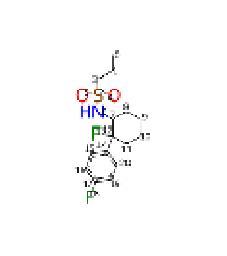 CCCS(=O)(=O)NC1CCCCC1(F)c1ccc(F)cc1